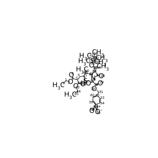 CCOC(=O)C(CC(=S)[C@H](C)[C@@H]1[C@@H]([C@@H](C)O[Si](C)(C)C(C)(C)C)C(=O)N1C(O)C(=O)OCc1ccc([N+](=O)[O-])cc1)C(=O)OCC